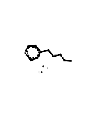 CCCCCc1ccncc1.N.O